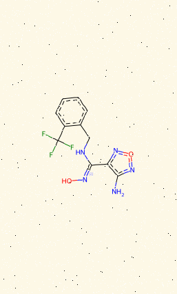 Nc1nonc1/C(=N/O)NCc1ccccc1C(F)(F)F